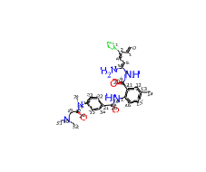 C=C/C(Cl)=C\C=C(/N)NC(=O)c1cc(C)ccc1NC(=O)c1ccc(N(C)C(=O)CN(C)C)cc1